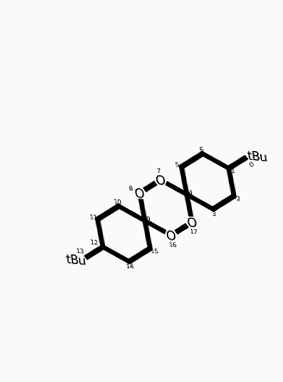 CC(C)(C)C1CCC2(CC1)OOC1(CCC(C(C)(C)C)CC1)OO2